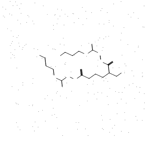 CCCCOC(C)OOC(=O)CCCC(CC)C(=O)OOC(C)OCCCC